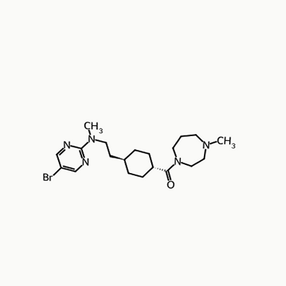 CN1CCCN(C(=O)[C@H]2CC[C@H](CCN(C)c3ncc(Br)cn3)CC2)CC1